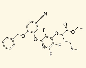 CCOC(=O)C(CCSC)Oc1c(F)c(F)nc(Oc2cc(C#N)ccc2OCc2ccccc2)c1F